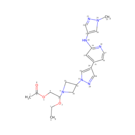 CCOC(COC(C)=O)N1CC(n2cc(-c3ccnc(Nc4cnn(C)c4)c3)cn2)C1